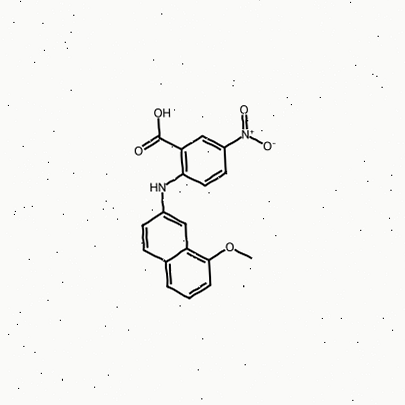 COc1cccc2ccc(Nc3ccc([N+](=O)[O-])cc3C(=O)O)cc12